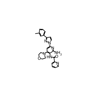 Cc1cccc(-c2ccn(-c3cc(N4CCOCC4)c(NC(=O)c4ccccn4)c(N)n3)n2)c1